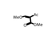 COC=C(C(C)=O)C(=O)OC